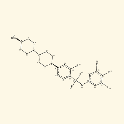 CCCC[C@H]1CC[C@H]([C@H]2CC[C@H](c3ccc(C(F)(F)Oc4cc(F)c(F)c(F)c4)c(F)c3)CC2)CC1